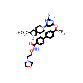 Nc1nc(O[C@H](c2ccc(-c3ccc(C(=O)NOCCN4CCOCC4)cc3)cc2)C(F)(F)F)cc(N2CCC3(CC2)CNC(C(=O)O)C3)n1